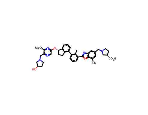 COc1nc(O[C@H]2CCc3c(-c4cccc(-c5nc6cc(CN7CC[C@@H](C(=O)O)C7)cc(C#N)c6o5)c4C)cccc32)cnc1CN1CC[C@@H](O)C1